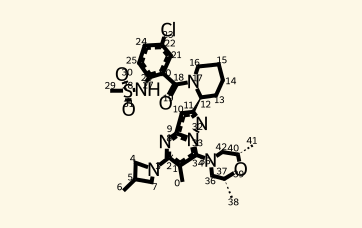 Cc1c(N2CC(C)C2)nc2cc([C@@H]3CCCCN3C(=O)c3cc(Cl)ccc3NS(C)(=O)=O)nn2c1N1C[C@@H](C)O[C@@H](C)C1